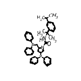 C=C(C)c1cccc(C(C)(C)NC(=O)n2cc(P(c3ccccc3)c3ccccc3)cc2CP(c2ccccc2)c2ccccc2)c1